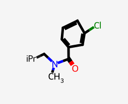 CC(C)CN(C)C(=O)c1cccc(Cl)c1